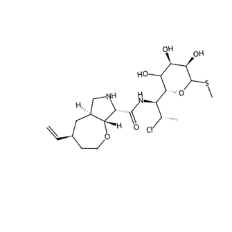 C=C[C@@H]1CCO[C@@H]2[C@H](CN[C@@H]2C(=O)N[C@H]([C@H](C)Cl)[C@H]2OC(SC)[C@H](O)[C@H](O)C2O)C1